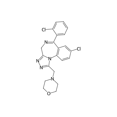 Clc1ccc2c(c1)C(c1ccccc1Cl)=NCc1nnc(CN3CCOCC3)n1-2